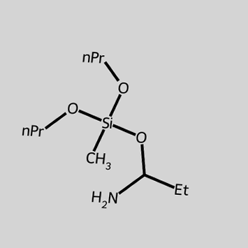 CCCO[Si](C)(OCCC)OC(N)CC